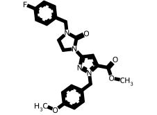 COC(=O)c1cc(N2CCN(Cc3ccc(F)cc3)C2=O)nn1Cc1ccc(OC)cc1